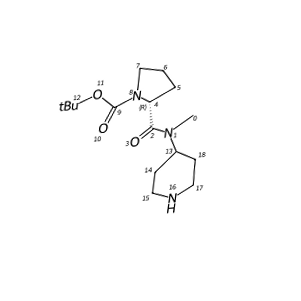 CN(C(=O)[C@H]1CCCN1C(=O)OC(C)(C)C)C1CCNCC1